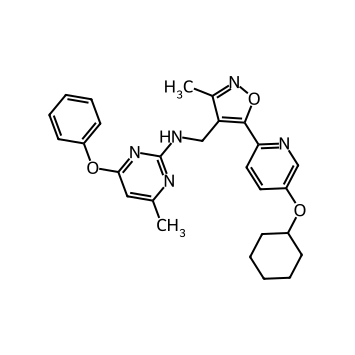 Cc1cc(Oc2ccccc2)nc(NCc2c(C)noc2-c2ccc(OC3CCCCC3)cn2)n1